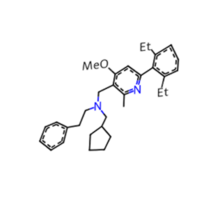 CCc1cccc(CC)c1-c1cc(OC)c(CN(CCc2ccccc2)CC2CCCC2)c(C)n1